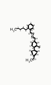 CCCCCc1ccccc1C=NN=Cc1ccc(-c2ccc(CC)cc2)c(F)c1